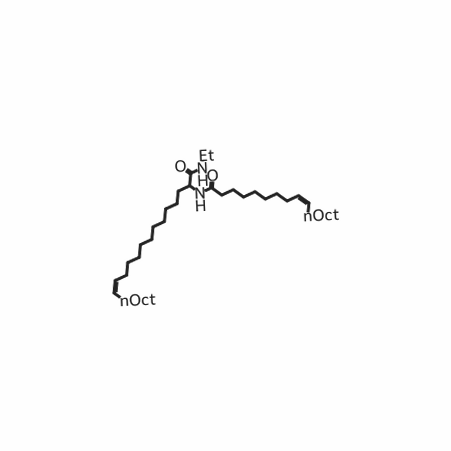 CCCCCCCC/C=C\CCCCCCCCCCC(NC(=O)CCCCCCC/C=C\CCCCCCCC)C(=O)NCC